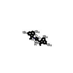 Cc1[nH]c(C2=C(O)/C(=c3\nc(C)c4c5cc(C(C)(C)C)cc6cc(C(C)(C)C)cc(c3=4)c65)C(=O)C2=O)c2c1-c1cc(C(C)(C)C)cc3cc(C(C)(C)C)cc-2c13